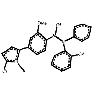 COc1cc(-c2ccc(C#N)n2C)ccc1N(C#N)N(c1ccccc1)c1ccccc1OC